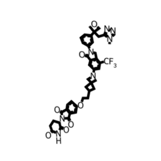 Cn1cnnc1CC1(c2cccc(N3Cc4c(cc(N5CC6(CC(CCOc7ccc8c(c7)C(=O)N(C7CCC(=O)NC7=O)C8=O)C6)C5)cc4C(F)(F)F)C3=O)c2)COC1